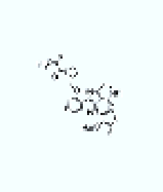 C=C(F)C(=O)N1CC[C@@H]1COc1cnccc1-c1[nH]c2c(c1Nc1cccc(F)c1OC)C(=O)NCC2